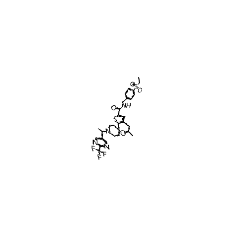 CCS(=O)(=O)c1ccc(CNC(=O)c2cc3c(s2)C2(CCN(C(C)c4cnc(C(F)(F)F)nc4)CC2)OC(C)C3)cc1